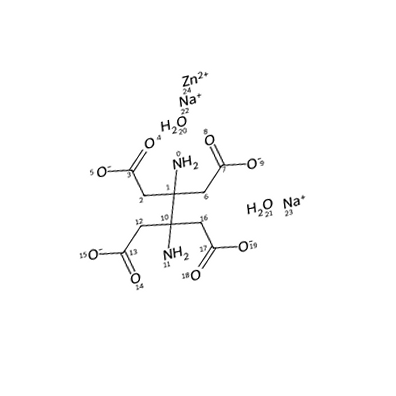 NC(CC(=O)[O-])(CC(=O)[O-])C(N)(CC(=O)[O-])CC(=O)[O-].O.O.[Na+].[Na+].[Zn+2]